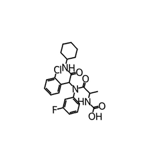 CC(NC(=O)O)C(=O)N(c1cccc(F)c1)C(C(=O)NC1CCCCC1)c1ccccc1Cl